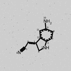 N#CC=C1CNc2ccc(N)cc21